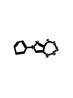 c1ccc(-n2cc3c(n2)SSSSS3)cc1